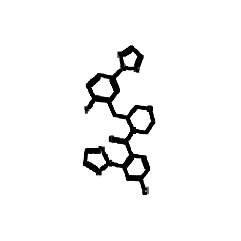 O=C(c1ccc(Cl)cc1-n1nccn1)N1CCOCC1Cc1cc(-n2nccn2)ccc1F